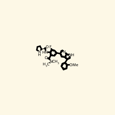 COc1ccccc1-c1c[nH]c2ncc(-c3cc(F)c(NC(=O)[C@@H]4CCCN4)c(C(=O)N(C)C)c3)cc12